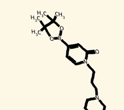 CC1(C)OB(c2ccn(CCCN3CCCCC3)c(=O)c2)OC1(C)C